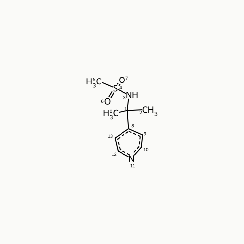 CC(C)(NS(C)(=O)=O)c1ccncc1